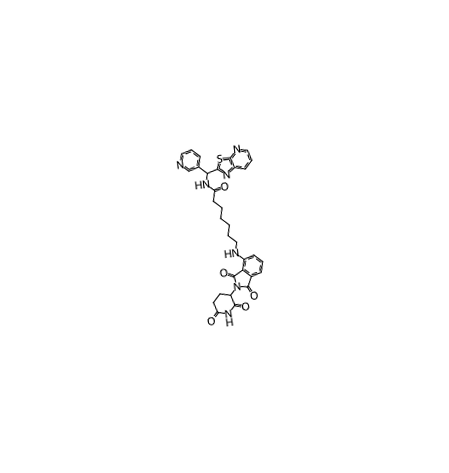 O=C1CCC(N2C(=O)c3cccc(NCCCCCCC(=O)NC(c4cccnc4)c4nc5cccnc5s4)c3C2=O)C(=O)N1